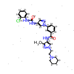 Cc1nn(CCN2CCCCC2)cc1NC(=O)c1cccc(-n2cc(NC(=O)Nc3ccccc3Cl)cn2)c1